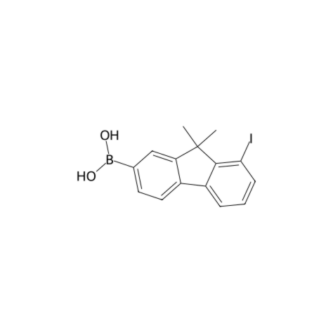 CC1(C)c2cc(B(O)O)ccc2-c2cccc(I)c21